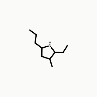 CCCC1CC(C)C(CC)N1